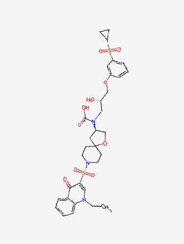 CCn1cc(S(=O)(=O)N2CCC3(CC2)C[C@@H](N(C[C@H](O)COc2cccc(S(=O)(=O)C4CC4)c2)C(=O)O)CO3)c(=O)c2ccccc21